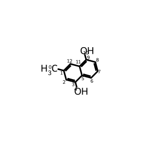 Cc1cc(O)c2cccc(O)c2c1